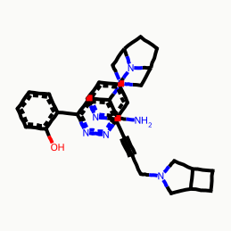 Nc1nnc(-c2ccccc2O)cc1N1CC2CCC(C1)N2c1ccnc(C#CCN2CC3CCC3C2)c1